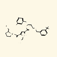 CCn1nc(C(=O)N[C@@H](Cc2cc(F)cc(F)c2)[C@H](O)CNCc2cccc(C(F)(F)F)c2)cc1C(=O)NN1CCCC1COC